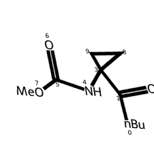 CCCCC(=O)C1(NC(=O)OC)CC1